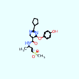 CC(/C=C/S(C)(=O)=O)NC(=O)c1cnc(C2CCCC2)nc1Oc1ccc(O)cc1